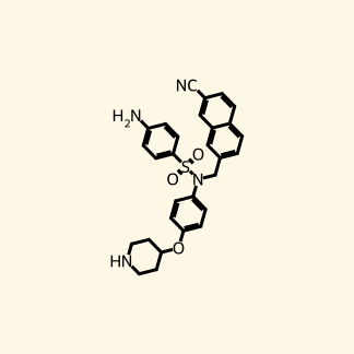 N#Cc1ccc2ccc(CN(c3ccc(OC4CCNCC4)cc3)S(=O)(=O)c3ccc(N)cc3)cc2c1